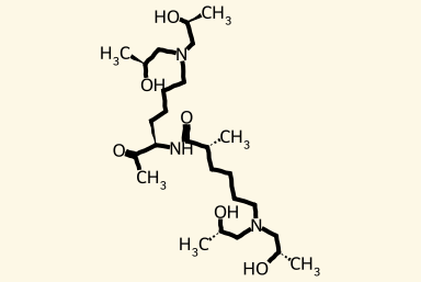 CC(=O)[C@@H](CCCCN(C[C@H](C)O)C[C@H](C)O)NC(=O)[C@H](C)CCCCN(C[C@H](C)O)C[C@H](C)O